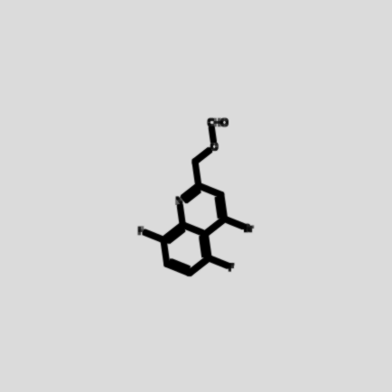 O=COCc1cc(Br)c2c(F)ccc(F)c2n1